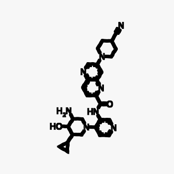 N#CC1CCN(c2cnc3ccc(C(=O)Nc4cnccc4N4CC(N)C(O)C(C5CC5)C4)nc3c2)CC1